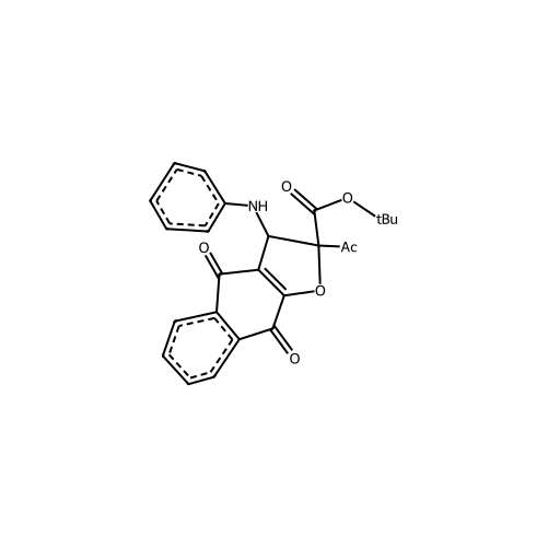 CC(=O)C1(C(=O)OC(C)(C)C)OC2=C(C(=O)c3ccccc3C2=O)C1Nc1ccccc1